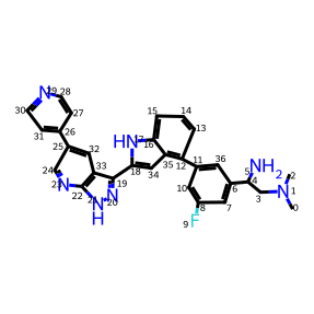 CN(C)CC(N)c1cc(F)cc(-c2cccc3[nH]c(-c4n[nH]c5ncc(-c6ccncc6)cc45)cc23)c1